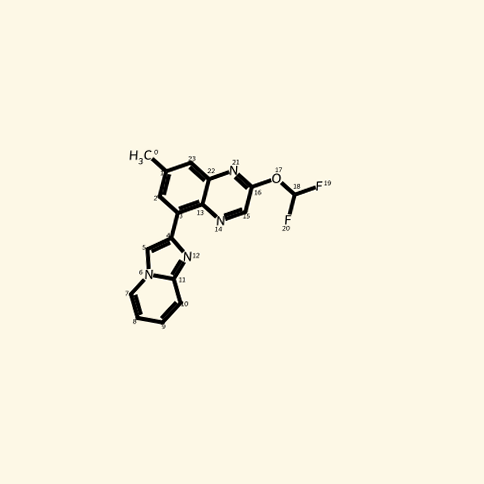 Cc1cc(-c2cn3ccccc3n2)c2ncc(OC(F)F)nc2c1